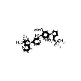 COc1cc(N2CCCC2CN(C)C)c([N+](=O)[O-])cc1Nc1cc(N2CC(C)(C)c3ncccc32)ncn1